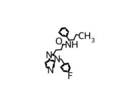 CCCC(NC(=O)CCc1nc2ccncc2n1Cc1ccc(F)cc1)c1ccccc1